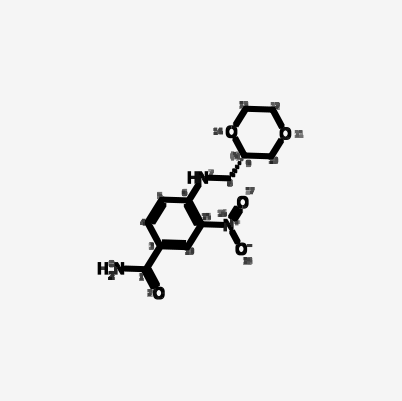 NC(=O)c1ccc(NC[C@H]2COCCO2)c([N+](=O)[O-])c1